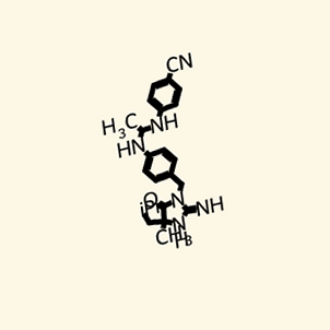 CC(C)CC1(C)NC(=N)N(Cc2ccc(NC(C)Nc3ccc(C#N)cc3)cc2)C1=O